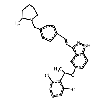 CC(Oc1ccc2[nH]nc(/C=C/c3ccc(CN4CCCC[C@@H]4C)cc3)c2c1)c1c(Cl)cncc1Cl